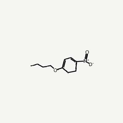 CCCCOC1=CC=C([N+](=O)[O-])C[CH]1